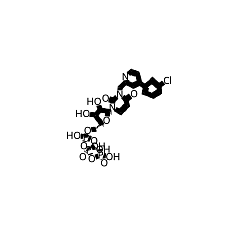 O=c1ccn([C@@H]2O[C@H](COP(=O)(O)OP(=O)(O)OP(=O)(O)O)C(O)C2O)c(=O)n1Cc1cc(-c2cccc(Cl)c2)ccn1